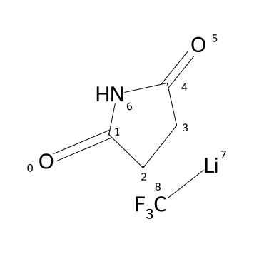 O=C1CCC(=O)N1.[Li][C](F)(F)F